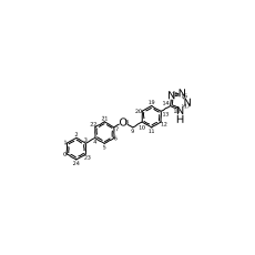 c1ccc(-c2ccc(OCc3ccc(-c4nnn[nH]4)cc3)cc2)cc1